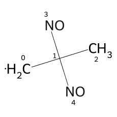 [CH2]C(C)(N=O)N=O